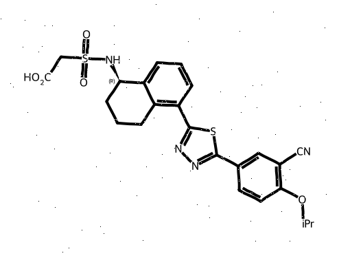 CC(C)Oc1ccc(-c2nnc(-c3cccc4c3CCC[C@H]4NS(=O)(=O)CC(=O)O)s2)cc1C#N